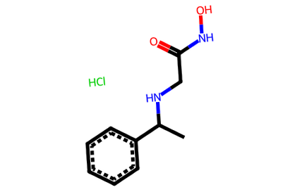 CC(NCC(=O)NO)c1ccccc1.Cl